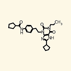 CCCn1c(=O)c2[nH]c(C3CCCC3)nc2n(CCc2ccc(NC(=O)C3CCCC3)cc2)c1=O